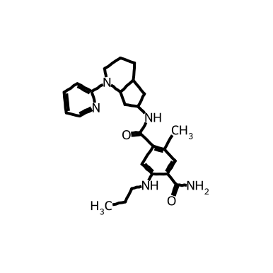 CCCNc1cc(C(=O)NC2CC3CCCN(c4ccccn4)C3C2)c(C)cc1C(N)=O